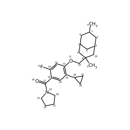 CC1CC2CC(C1)CC(C)(COc1cc(F)c(C(=O)N3CCCC3)cc1C1CC1)C2